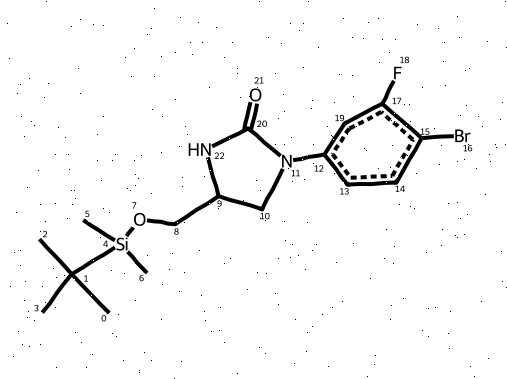 CC(C)(C)[Si](C)(C)OCC1CN(c2ccc(Br)c(F)c2)C(=O)N1